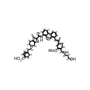 COc1cc(/C(F)=C/c2cccc(-c3cccc(NC(=O)c4nc5c(n4C)CCN(CCC46CCC(C(=O)O)(CC4)C6)C5)c3Cl)c2Cl)ncc1CNCCCO